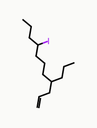 C=CCC(CCC)CCCC(I)CCC